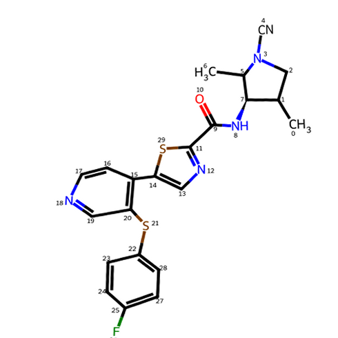 CC1CN(C#N)C(C)[C@@H]1NC(=O)c1ncc(-c2ccncc2Sc2ccc(F)cc2)s1